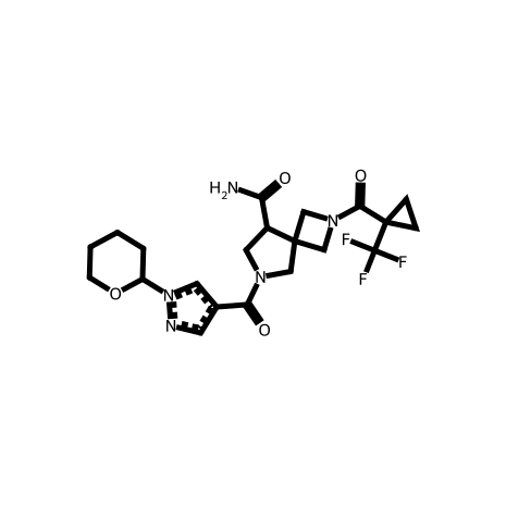 NC(=O)C1CN(C(=O)c2cnn(C3CCCCO3)c2)CC12CN(C(=O)C1(C(F)(F)F)CC1)C2